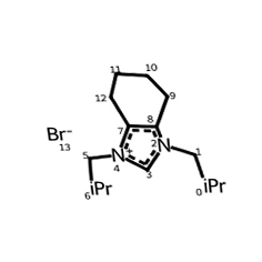 CC(C)Cn1c[n+](CC(C)C)c2c1CCCC2.[Br-]